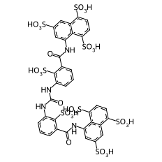 O=C(Nc1cccc(C(=O)Nc2cc(S(=O)(=O)O)cc3c(S(=O)(=O)O)ccc(S(=O)(=O)O)c23)c1S(=O)(=O)O)Nc1cccc(C(=O)Nc2cc(S(=O)(=O)O)cc3c(S(=O)(=O)O)ccc(S(=O)(=O)O)c23)c1S(=O)(=O)O